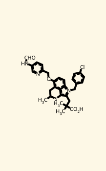 CC1Cc2c(OCc3ccc(NC=O)cn3)ccc3c2c(c(CC(C)(C)C(=O)O)n3Cc2ccc(Cl)cc2)S1